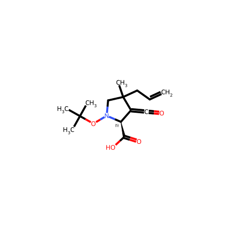 C=CCC1(C)CN(OC(C)(C)C)[C@H](C(=O)O)C1=C=O